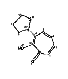 O=c1ccccc([C@@H]2CCCS2)c1O